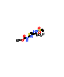 C=CS(=O)(=O)N[C@@H](C(=O)O)c1csc(NC(=O)OC(C)(C)C)n1